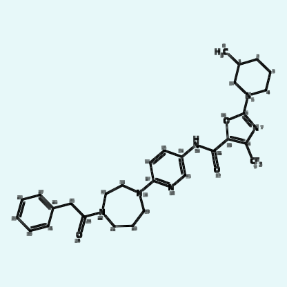 CC1CCCN(c2nc(C(F)(F)F)c(C(=O)Nc3ccc(N4CCCN(C(=O)Cc5ccccc5)CC4)nc3)o2)C1